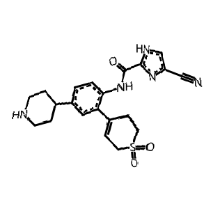 N#Cc1c[nH]c(C(=O)Nc2ccc(C3CCNCC3)cc2C2=CCS(=O)(=O)CC2)n1